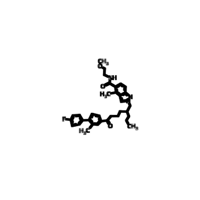 CCCC(CCCC(=O)c1ccc(-c2ccc(F)cc2)c(C)c1)Cn1cc2c(C)c(C(=O)NCCOC)ccc2n1